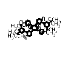 CC(C)(C)c1cc(-c2c(F)ccc3c4c5c6ccccc6n6c7c(-c8cc(C(C)(C)C)cc(C(C)(C)C)c8)c(F)ccc7c(c7c8ccccc8n(c23)c74)c56)cc(C(C)(C)C)c1